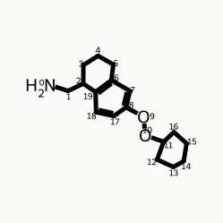 NCC1CCCc2cc(OOC3CCCCC3)ccc21